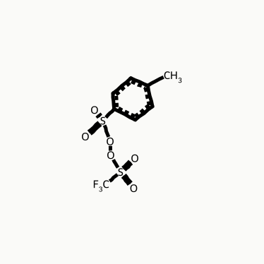 Cc1ccc(S(=O)(=O)OOS(=O)(=O)C(F)(F)F)cc1